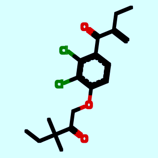 C=C(CC)C(=O)c1ccc(OCC(=O)C(C)(C)CC)c(Cl)c1Cl